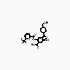 O=C(Nc1cc2c(C3CCC(CO)CC3)n[nH]c2cc1C(=O)O)c1cccc(C(F)(F)F)n1